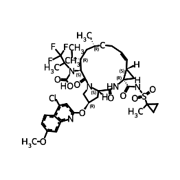 CC[C@@H]1C[C@H](C)CCC=C[C@@H]2C[C@@]2(C(=O)NS(=O)(=O)C2(C)CC2)NC(=O)[C@@H]2C[C@@H](Oc3cc(Cl)c4ccc(OC)cc4n3)CN2C(=O)[C@H]1N(C(=O)O)C(C)(C)C(F)(F)F